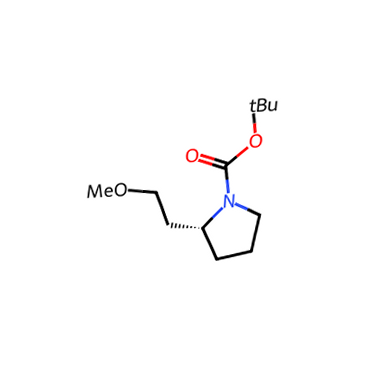 COCC[C@H]1CCCN1C(=O)OC(C)(C)C